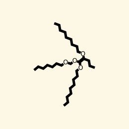 CCCCCCCCCOC(CCC)=C(OCCCCCCCCC)OCOCCCCCCC